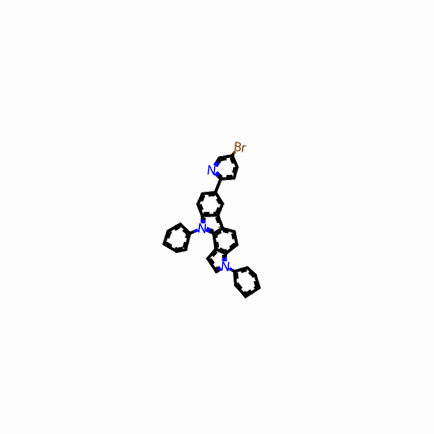 Brc1ccc(-c2ccc3c(c2)c2ccc4c(ccn4-c4ccccc4)c2n3-c2ccccc2)nc1